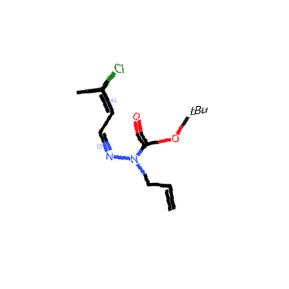 C=CCN(/N=C\C=C(/C)Cl)C(=O)OC(C)(C)C